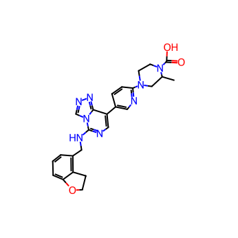 CC1CN(c2ccc(-c3cnc(NCc4cccc5c4CCO5)n4cnnc34)cn2)CCN1C(=O)O